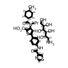 CC(C)N(c1cc(-c2ccc(NC(=O)c3cscn3)cc2)sc1C(=O)O)C(=O)[C@H]1CC[C@H](C)CC1.NC[C@H](O)[C@@H](O)[C@H](O)[C@H](O)CO